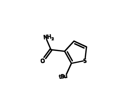 CC(C)(C)c1sccc1C(N)=O